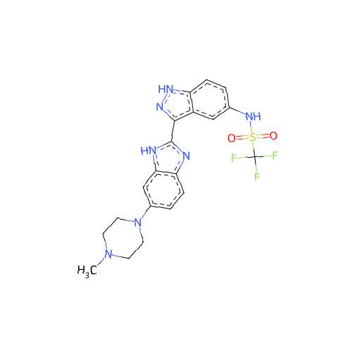 CN1CCN(c2ccc3nc(-c4n[nH]c5ccc(NS(=O)(=O)C(F)(F)F)cc45)[nH]c3c2)CC1